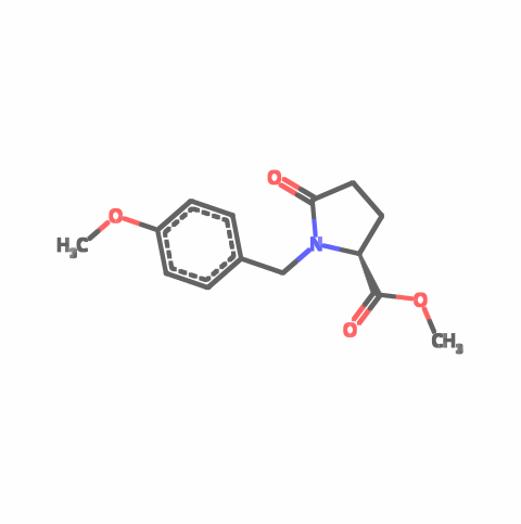 COC(=O)[C@@H]1CCC(=O)N1Cc1ccc(OC)cc1